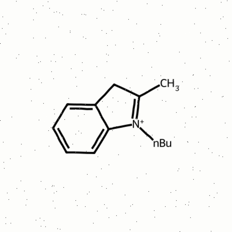 CCCC[N+]1=C(C)Cc2ccccc21